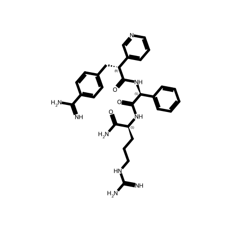 N=C(N)NCCC[C@H](NC(=O)[C@@H](NC(=O)[C@H](Cc1ccc(C(=N)N)cc1)c1cccnc1)c1ccccc1)C(N)=O